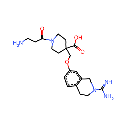 N=C(N)N1CCc2ccc(OCC3(C(=O)O)CCN(C(=O)CCN)CC3)cc2C1